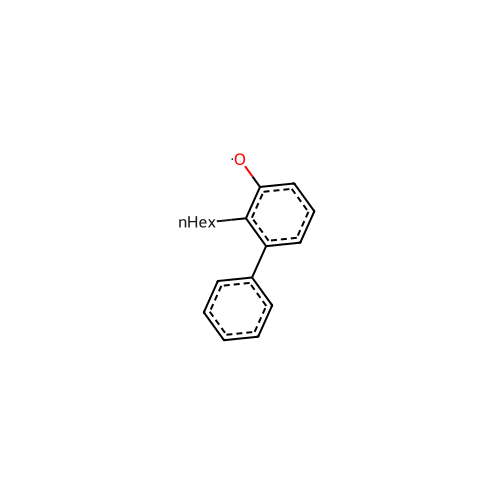 CCCCCCc1c([O])cccc1-c1ccccc1